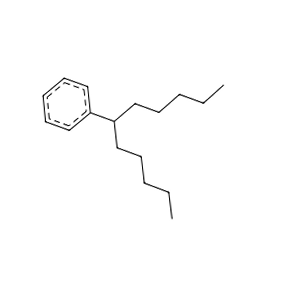 CCCCCC(CCCCC)c1ccccc1